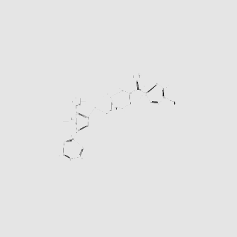 Cc1[nH]c(-c2ccccc2)cc1CCN1CCC(C(=O)c2ccc(F)cc2)CC1